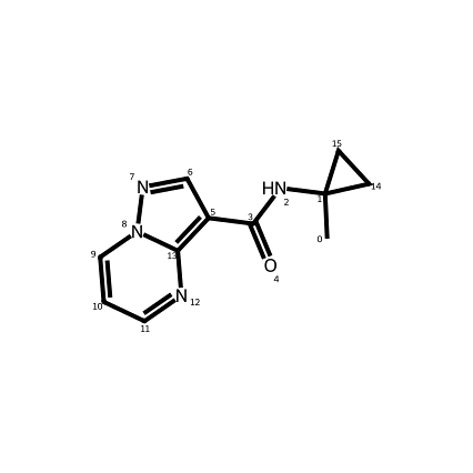 CC1(NC(=O)c2cnn3cccnc23)CC1